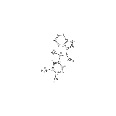 CC(c1csc2ccccc12)N(C)c1ncc(C#N)c(N)n1